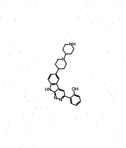 Oc1ccccc1-c1cc2c(nn1)[nH]c1ccc(C3CCN(C4CCNCC4)CC3)cc12